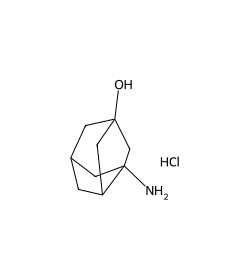 Cl.NC12CC3CC1CC(O)(C3)C2